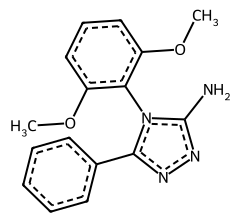 COc1cccc(OC)c1-n1c(N)nnc1-c1ccccc1